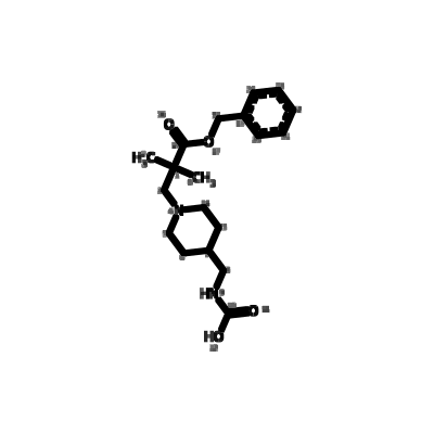 CC(C)(CN1CCC(CNC(=O)O)CC1)C(=O)OCc1ccccc1